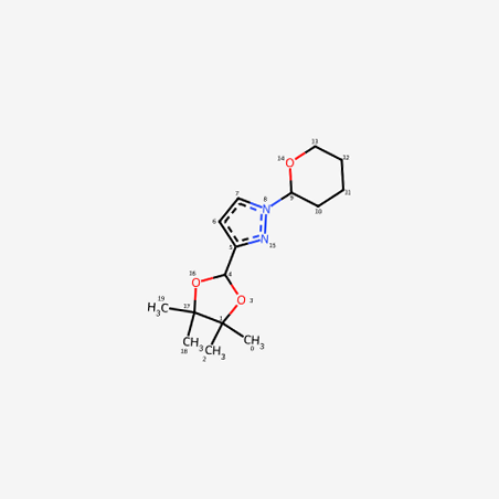 CC1(C)OC(c2ccn(C3CCCCO3)n2)OC1(C)C